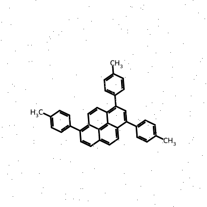 Cc1ccc(-c2ccc3ccc4c(-c5ccc(C)cc5)cc(-c5ccc(C)cc5)c5ccc2c3c45)cc1